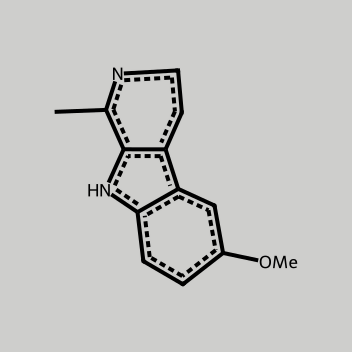 COc1ccc2[nH]c3c(C)nccc3c2c1